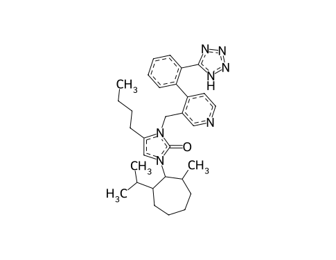 CCCCc1cn(C2C(C)CCCCC2C(C)C)c(=O)n1Cc1cnccc1-c1ccccc1-c1nnn[nH]1